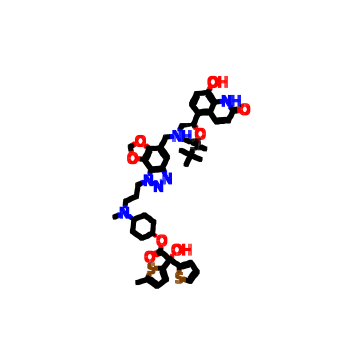 Cc1ccc([C@](O)(C(=O)O[C@H]2CC[C@H](N(C)CCCn3nnc4cc(CNC[C@H](O[Si](C)(C)C(C)(C)C)c5ccc(O)c6[nH]c(=O)ccc56)c5c(c43)OCO5)CC2)c2cccs2)s1